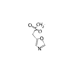 [CH2]S(=O)(=O)Cc1cnco1